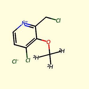 [2H]C([2H])([2H])OC1=C(Cl)C=C[N+]=C1CCl.[Cl-]